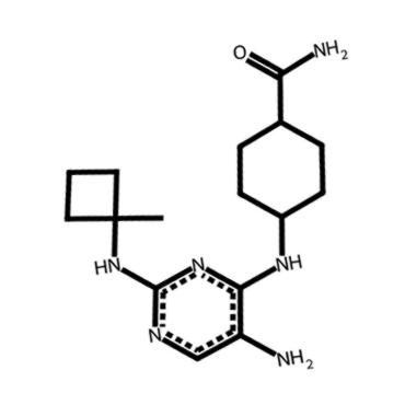 CC1(Nc2ncc(N)c(NC3CCC(C(N)=O)CC3)n2)CCC1